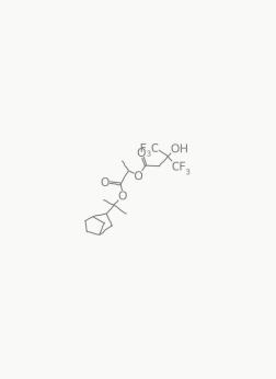 CC(OC(=O)CC(O)(C(F)(F)F)C(F)(F)F)C(=O)OC(C)(C)C1CC2CCC1C2